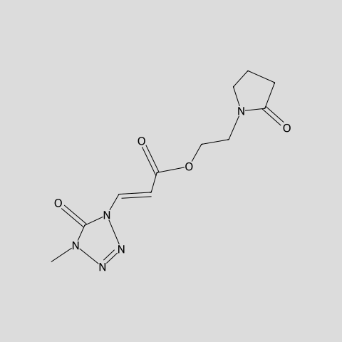 Cn1nnn(/C=C/C(=O)OCCN2CCCC2=O)c1=O